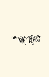 CCCCC(CCC)O[SiH2]CCC[SiH2]OC(CCC)CCCC